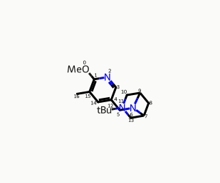 COc1ncc(CN2C3CC2CN(C(C)(C)C)C3)cc1C